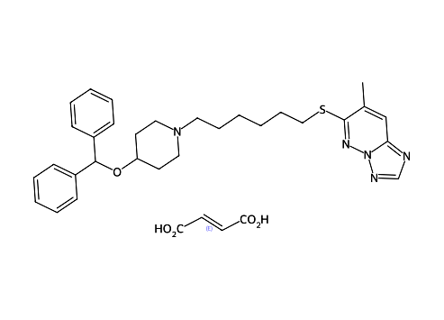 Cc1cc2ncnn2nc1SCCCCCCN1CCC(OC(c2ccccc2)c2ccccc2)CC1.O=C(O)/C=C/C(=O)O